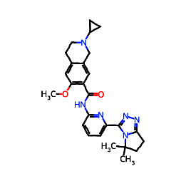 COc1cc2c(cc1C(=O)Nc1cccc(-c3nnc4n3C(C)(C)CC4)n1)CN(C1CC1)CC2